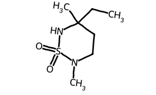 CCC1(C)CCN(C)S(=O)(=O)N1